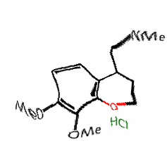 CNCC1CCOc2c1ccc(OC)c2OC.Cl